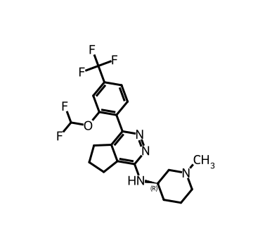 CN1CCC[C@@H](Nc2nnc(-c3ccc(C(F)(F)F)cc3OC(F)F)c3c2CCC3)C1